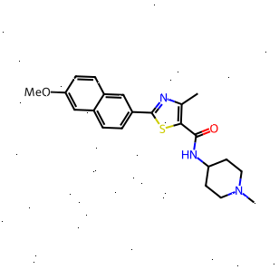 COc1ccc2cc(-c3nc(C)c(C(=O)NC4CCN(C)CC4)s3)ccc2c1